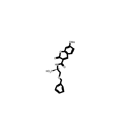 COc1ccc2cc(C(=O)N[C@@H](COCc3ccccc3)C(=O)O)c(=O)oc2c1